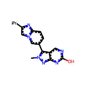 CC(C)c1cn2cc(-c3c4cnc(O)nc4nn3C)ccc2n1